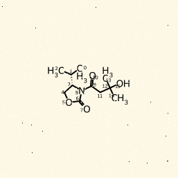 CC(C)[C@H]1COC(=O)N1C(=O)CC(C)(C)O